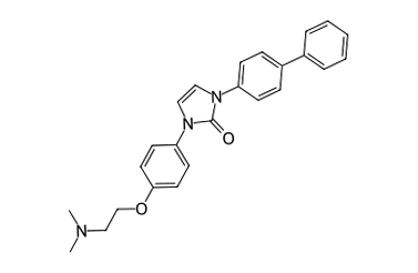 CN(C)CCOc1ccc(-n2ccn(-c3ccc(-c4ccccc4)cc3)c2=O)cc1